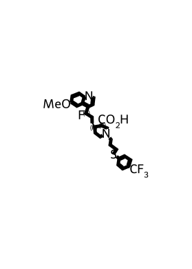 COc1ccc2nccc([C@H](F)CC[C@@H]3CCN(CCCSc4ccc(C(F)(F)F)cc4)C[C@@H]3C(=O)O)c2c1